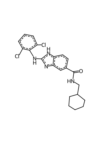 O=C(NCC1CCCCC1)c1ccc2[nH]c(Nc3c(Cl)cccc3Cl)nc2c1